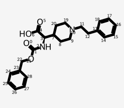 O=C(N[C@@H](C(=O)O)C1CCN(CCc2ccccc2)CC1)OCc1ccccc1